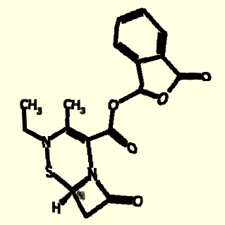 CCN1S[C@H]2CC(=O)N2C(C(=O)OC2OC(=O)c3ccccc32)=C1C